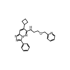 c1ccc(-c2nnc3cc(C4CCC4)c(NCCOCc4ccccn4)nn23)cc1